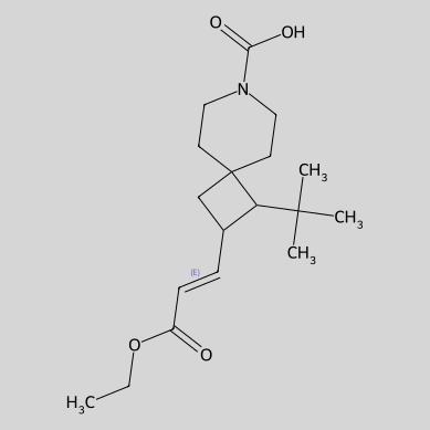 CCOC(=O)/C=C/C1CC2(CCN(C(=O)O)CC2)C1C(C)(C)C